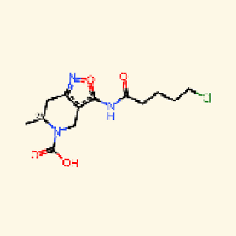 C[C@H]1Cc2noc(NC(=O)CCCCCl)c2CN1C(=O)O